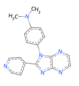 CN(C)c1ccc(-n2c(-c3ccncc3)nc3nccnc32)cc1